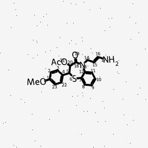 COc1ccc(C2Sc3ccccc3N(CC=CN)C(=O)C2OC(C)=O)cc1